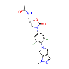 CC(=O)NC[C@H]1CN(c2cc(F)c(N3Cc4cnn(C)c4C3)c(F)c2)C(=O)O1